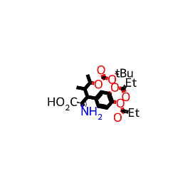 CCC(=O)Oc1ccc(C(C(C)C(C)OC(=O)OC(C)(C)C)[C@H](N)C(=O)O)cc1OC(=O)CC